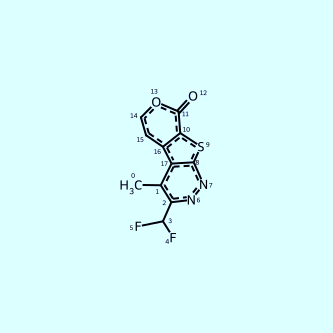 Cc1c(C(F)F)nnc2sc3c(=O)occc3c12